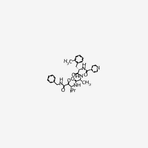 Cc1ccccc1C[C@H](NC(=O)c1ccncc1)C(=O)N[C@@H](C)C(=O)N[C@H](C(=O)C(=O)NCc1ccccc1)C(C)C